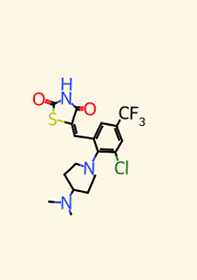 CN(C)C1CCN(c2c(Cl)cc(C(F)(F)F)cc2C=C2SC(=O)NC2=O)CC1